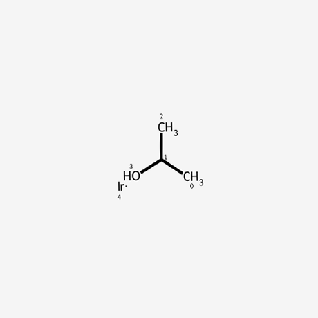 CC(C)O.[Ir]